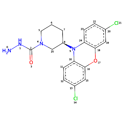 NNC(=O)N1CCC[C@@H](N2c3ccc(Cl)cc3Oc3cc(Cl)ccc32)C1